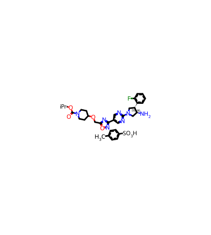 CC(C)OC(=O)N1CCC(OCc2nc(-c3cnc(N4C[C@H](c5ccccc5F)[C@@H](N)C4)nc3)no2)CC1.Cc1ccc(S(=O)(=O)O)cc1